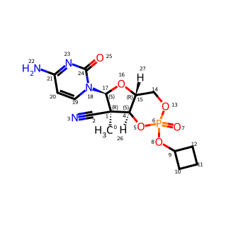 C[C@@]1(C#N)[C@@H]2OP(=O)(OC3CCC3)OC[C@H]2O[C@@H]1n1ccc(N)nc1=O